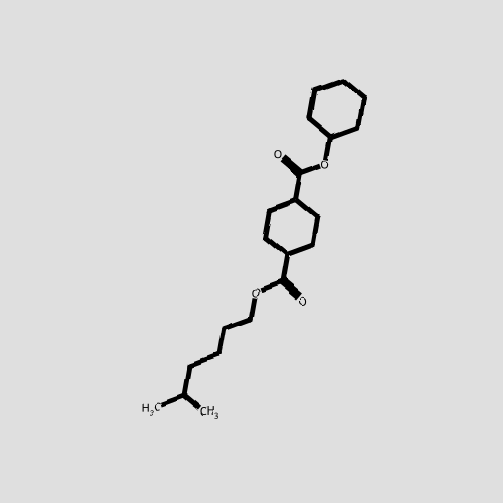 CC(C)CCCCOC(=O)C1CCC(C(=O)OC2CCCCC2)CC1